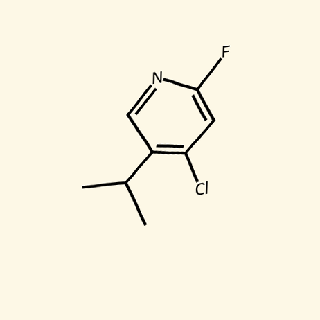 CC(C)c1cnc(F)cc1Cl